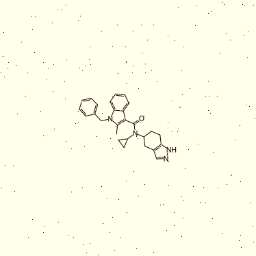 Cc1c(C(=O)N(C2CC2)C2CCc3[nH]ncc3C2)c2ccccc2n1Cc1ccccc1